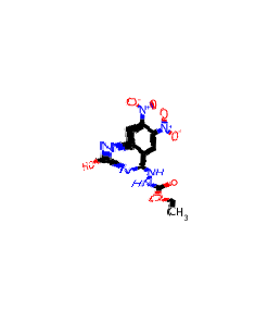 CCOC(=O)NNc1nc(O)nc2cc([N+](=O)[O-])c([N+](=O)[O-])cc12